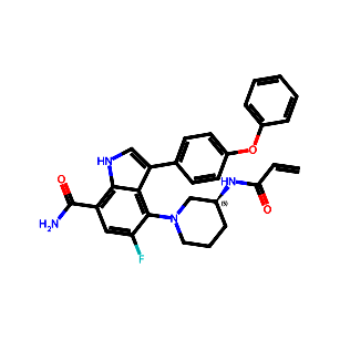 C=CC(=O)N[C@H]1CCCN(c2c(F)cc(C(N)=O)c3[nH]cc(-c4ccc(Oc5ccccc5)cc4)c23)C1